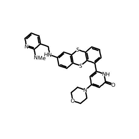 CNc1ncccc1CNc1ccc2c(c1)Sc1cccc(-c3cc(N4CCOCC4)cc(=O)[nH]3)c1S2